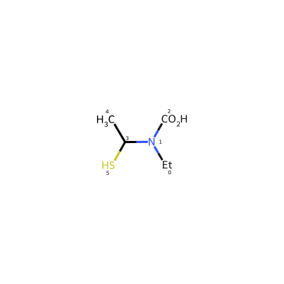 CCN(C(=O)O)C(C)S